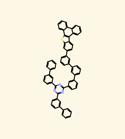 c1ccc(-c2cccc(-c3nc(-c4cccc(-c5ccccc5)c4)nc(-c4cccc(-c5cccc(-c6cccc(-c7ccc8c(c7)sc7c9ccccc9c9ccccc9c87)c6)c5)c4)n3)c2)cc1